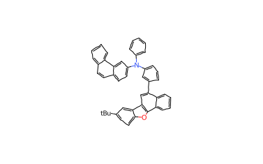 CC(C)(C)c1ccc2oc3c4ccccc4c(-c4cccc(N(c5ccccc5)c5ccc6ccc7ccccc7c6c5)c4)cc3c2c1